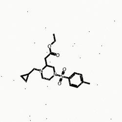 CCOC(=O)CC1CN(S(=O)(=O)c2ccc(C)cc2)CCN1CC1CC1